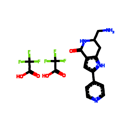 NCC1Cc2[nH]c(-c3ccncc3)cc2C(=O)N1.O=C(O)C(F)(F)F.O=C(O)C(F)(F)F